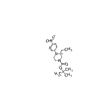 CC[C@H]1CN(C(=O)OC(C)(C)C)CCN1c1ccc([N+](=O)[O-])nc1